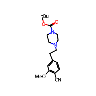 COc1cc(CCN2CCN(C(=O)OC(C)(C)C)CC2)ccc1C#N